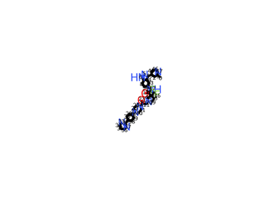 Cc1cc(-c2n[nH]c3ccc(NC(=O)C4(C(F)F)CCN(CC(=O)N5CCN(c6ccc(-c7ncccn7)cc6)CC5)C4)cc23)ccn1